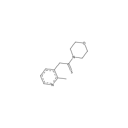 Cc1ncccc1CC(=S)N1CCOCC1